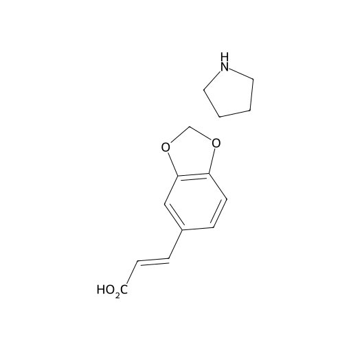 C1CCNC1.O=C(O)C=Cc1ccc2c(c1)OCO2